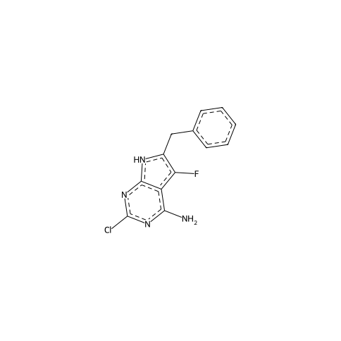 Nc1nc(Cl)nc2[nH]c(Cc3ccccc3)c(F)c12